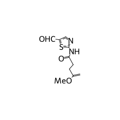 C=C(CCC(=O)Nc1ncc(C=O)s1)OC